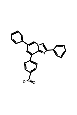 O=[N+]([O-])c1ccc(-c2cc(-c3ccccc3)cn3cc(-c4ccccc4)nc23)cc1